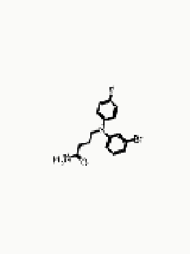 NC(=O)CCCN(c1ccc(F)cc1)c1cccc(Br)c1